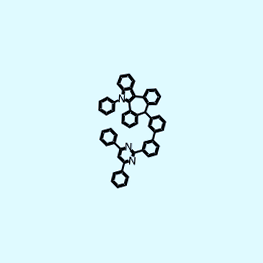 c1ccc(-c2cc(-c3ccccc3)nc(-c3cccc(-c4cccc(C5c6ccccc6-c6c(n(-c7ccccc7)c7ccccc67)-c6ccccc65)c4)c3)n2)cc1